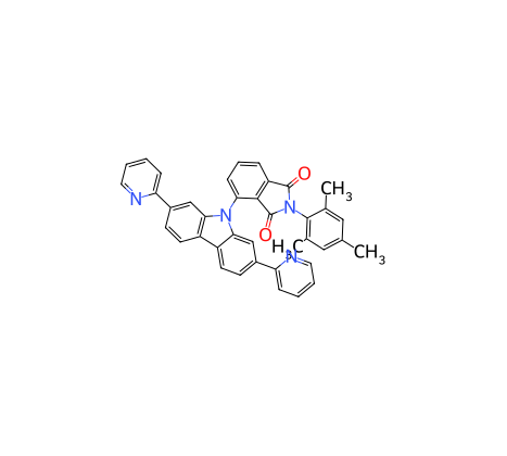 Cc1cc(C)c(N2C(=O)c3cccc(-n4c5cc(-c6ccccn6)ccc5c5ccc(-c6ccccn6)cc54)c3C2=O)c(C)c1